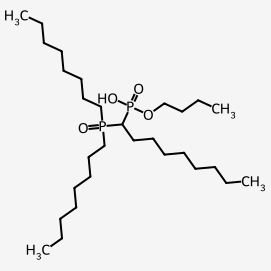 CCCCCCCCC(P(=O)(CCCCCCCC)CCCCCCCC)P(=O)(O)OCCCC